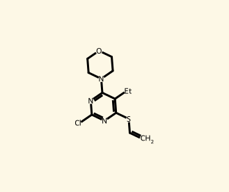 C=CSc1nc(Cl)nc(N2CCOCC2)c1CC